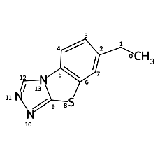 CCc1ccc2c(c1)sc1nncn12